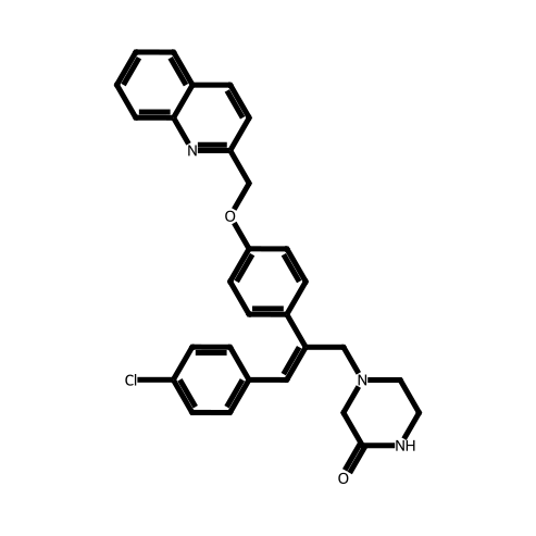 O=C1CN(C/C(=C/c2ccc(Cl)cc2)c2ccc(OCc3ccc4ccccc4n3)cc2)CCN1